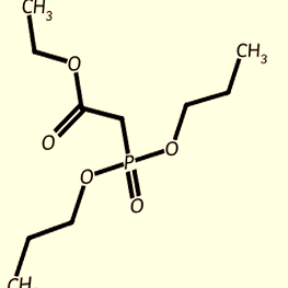 CCCOP(=O)(CC(=O)OCC)OCCC